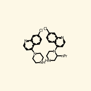 CCCC1CNCCN1c1ccnc2cc(Cl)ccc12.Clc1ccc2c(N3CCNCC3)ccnc2c1